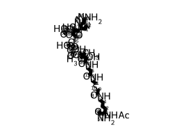 CC(=O)N[C@@H](CCCCNC(=O)CSCCNC(=O)CCNC(=O)[C@H](O)C(C)(C)COP(=O)(O)OP(=O)(O)OC[C@H]1O[C@@H](C2C=Nc3c(N)ncnc32)[C@H](O)[C@@H]1OP(=O)(O)O)C(N)=O